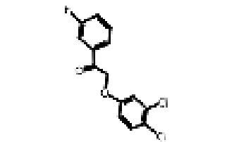 O=C(COc1ccc(Cl)c(Cl)c1)c1cccc(F)c1